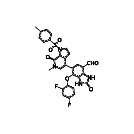 Cc1ccc(S(=O)(=O)n2ccc3c(-c4cc(C=O)c5[nH]c(=O)[nH]c5c4Oc4ccc(F)cc4F)cn(C)c(=O)c32)cc1